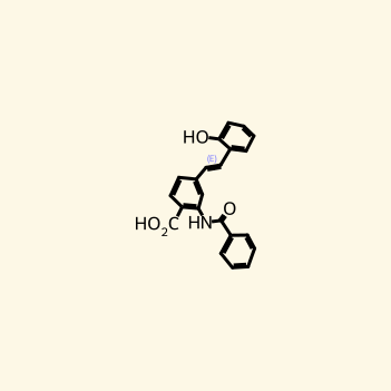 O=C(Nc1cc(/C=C/c2ccccc2O)ccc1C(=O)O)c1ccccc1